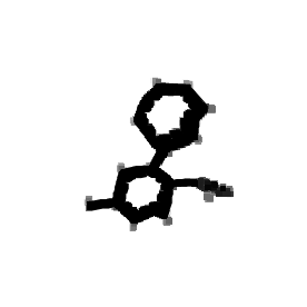 COc1ccc(C)cc1-c1ccccc1